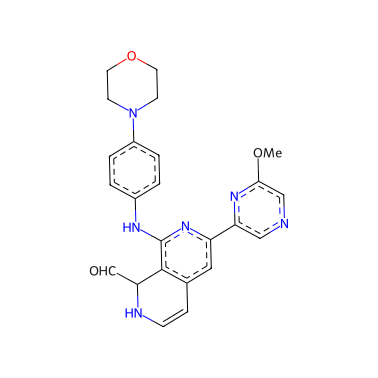 COc1cncc(-c2cc3c(c(Nc4ccc(N5CCOCC5)cc4)n2)C(C=O)NC=C3)n1